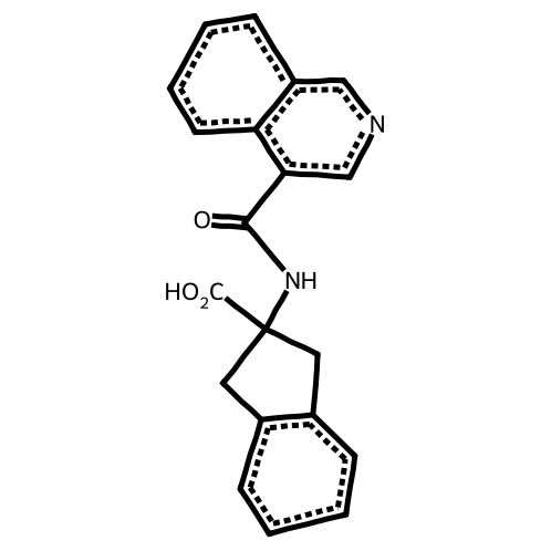 O=C(NC1(C(=O)O)Cc2ccccc2C1)c1cncc2ccccc12